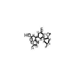 COc1ccc(C)cc1-c1cc(F)cc(C(CC(=O)O)c2ncc(C)o2)c1